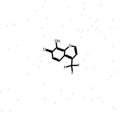 O=c1ccc2c(C(F)(F)F)ccoc-2c1O